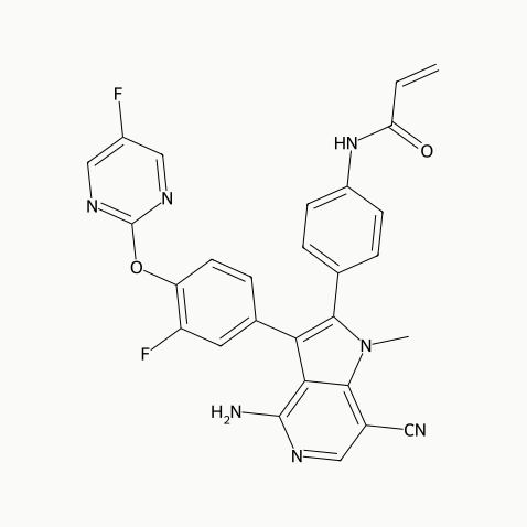 C=CC(=O)Nc1ccc(-c2c(-c3ccc(Oc4ncc(F)cn4)c(F)c3)c3c(N)ncc(C#N)c3n2C)cc1